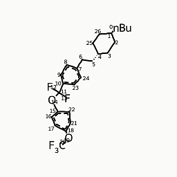 CCCC[C@H]1CC[C@H](CCc2ccc(C(F)(F)Oc3ccc(OC(F)(F)F)cc3)cc2)CC1